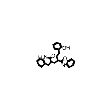 NC(=O)C(Cc1ccccc1)CC(CCc1ccccc1O)c1nc2ccccc2o1